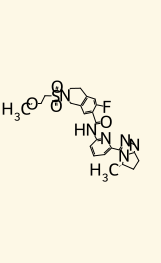 COCCS(=O)(=O)N1CCc2cc(F)c(C(=O)Nc3cccc(-c4nnc5n4[C@@H](C)CC5)n3)cc2C1